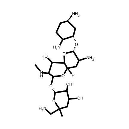 CNC1C(O[C@H]2OC(C)(CN)CC(O)C2O)O[C@H]2CC(N)[C@@H](O[C@H]3C[C@H](N)CCC3N)OC2C1O